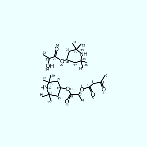 CC(=O)CC(=O)OC(C)C(=O)OC1CC(C)(C)NC(C)(C)C1.CC(O)C(=O)OC1CC(C)(C)NC(C)(C)C1